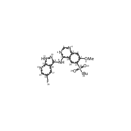 COc1cc2ncnc(Nc3n[nH]c4ncc(F)cc34)c2cc1S(=O)(=O)C(C)(C)C